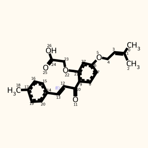 CC(C)=CCOc1ccc(C(=O)/C=C/c2ccc(C)cc2)c(OCC(=O)O)c1